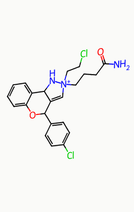 NC(=O)CCC[N+]1(CCCl)C=C2C(N1)c1ccccc1OC2c1ccc(Cl)cc1